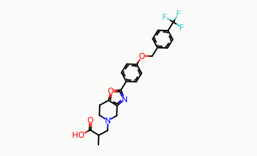 CC(CN1CCc2oc(-c3ccc(OCc4ccc(C(F)(F)F)cc4)cc3)nc2C1)C(=O)O